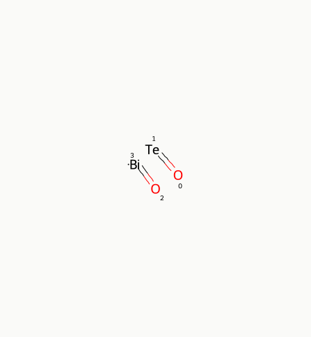 O=[Te].[O]=[Bi]